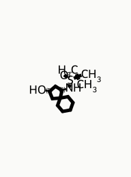 CC(C)(C)[S+]([O-])N[C@@H]1C[C@H](O)CC12CCCCC2